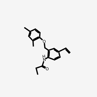 C=Cc1ccc(NC(=O)CC)c(COc2ccc(C)cc2C)c1